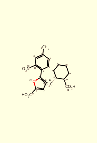 Cc1ccc(-c2ccc(C(=O)O)o2)c([N+](=O)[O-])c1.O=C(O)[C@@H]1CCCC[C@H]1C(=O)O